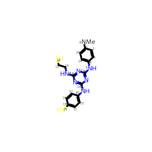 CNc1ccc(Nc2nc(NCCS)nc(Nc3ccc(S)cc3)n2)cc1